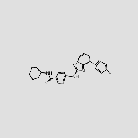 Cc1ccc(-c2cccn3nc(Nc4ccc(C(=O)NC5CCCCC5)cc4)nc23)cc1